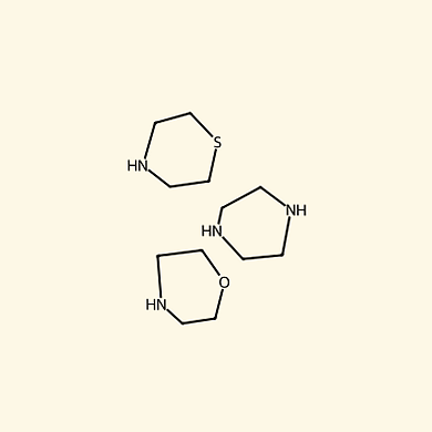 C1CNCCN1.C1COCCN1.C1CSCCN1